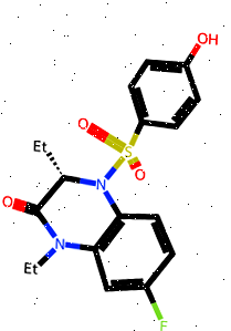 CC[C@H]1C(=O)N(CC)c2cc(F)ccc2N1S(=O)(=O)c1ccc(O)cc1